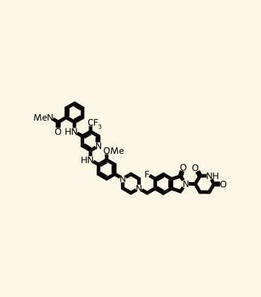 CNC(=O)c1ccccc1Nc1cc(Nc2ccc(N3CCN(Cc4cc5c(cc4F)C(=O)N(C4CCC(=O)NC4=O)C5)CC3)cc2OC)ncc1C(F)(F)F